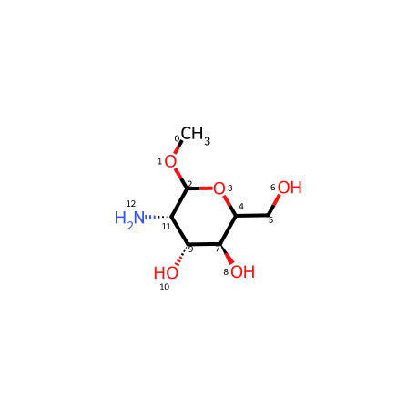 COC1OC(CO)[C@@H](O)[C@H](O)[C@@H]1N